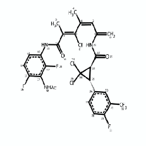 C=C(/C=C(C)\C(Cl)=C(/C)C(=O)Nc1ccc(F)c(NC(C)=O)c1F)NC(=O)[C@H]1[C@H](c2ccc(F)c(C(F)(F)F)c2)C1(Cl)Cl